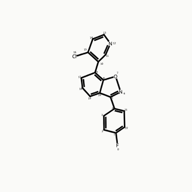 Fc1ccc(-c2noc3c(-c4cnccc4Cl)cccc23)cc1